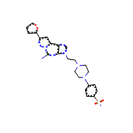 Nc1nc2c(ncn2CCN2CCN(c3ccc(S(N)(=O)=O)cc3)CC2)c2cc(-c3ccco3)nn12